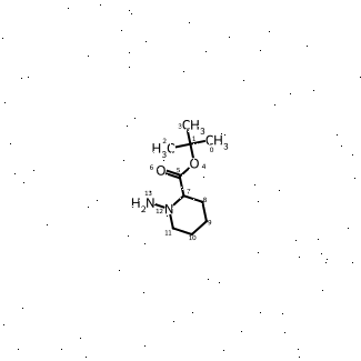 CC(C)(C)OC(=O)C1CCCCN1N